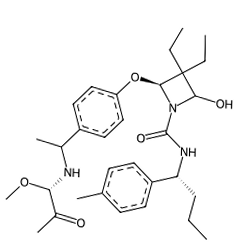 CCC[C@@H](NC(=O)N1C(O)C(CC)(CC)[C@@H]1Oc1ccc(C(C)N[C@@H](OC)C(C)=O)cc1)c1ccc(C)cc1